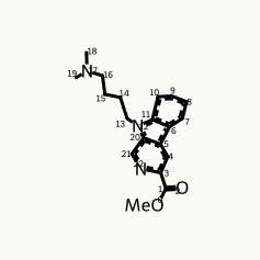 COC(=O)c1cc2c3ccccc3n(CCCCN(C)C)c2cn1